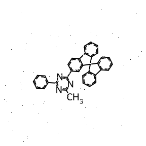 Cc1nc(-c2ccccc2)nc(-c2ccc3c(c2)C2(c4ccccc4-c4ccccc42)c2ccccc2-3)n1